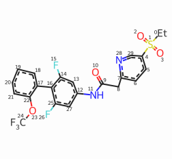 CCS(=O)(=O)c1ccc(CC(=O)Nc2cc(F)c(-c3ccccc3OC(F)(F)F)c(F)c2)nc1